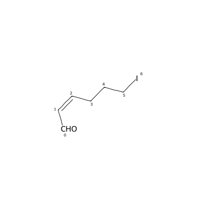 O=C/C=C\CCCI